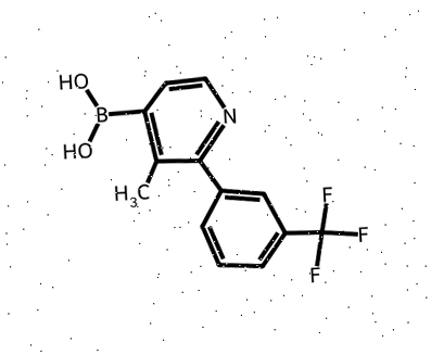 Cc1c(B(O)O)ccnc1-c1cccc(C(F)(F)F)c1